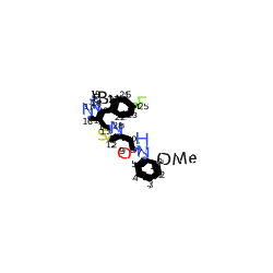 COc1ccccc1NC(=O)Cc1csc(-c2cnn(C(C)(C)C)c2-c2ccc(F)cc2)n1